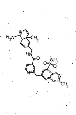 Cc1cc2cc(Cc3cc(C(=O)NCC4=CC5(C)C=CN=C(N)C5C=C4)ccn3)cc(S(N)(=O)=O)c2cn1